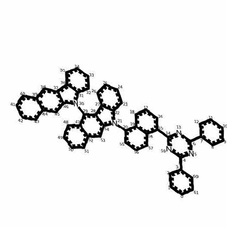 c1ccc(-c2nc(-c3ccccc3)nc(-c3cccc4c(-n5c6ccccc6c6c(-n7c8ccccc8c8cc9ccccc9cc87)c7ccccc7cc65)cccc34)n2)cc1